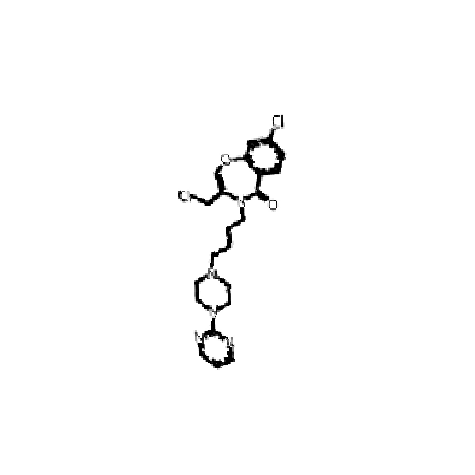 O=C1c2ccc(Cl)cc2OC=C(CCl)N1CCCCN1CCN(c2ncccn2)CC1